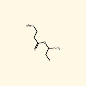 CCCCCCCC(=O)OC(C)CI